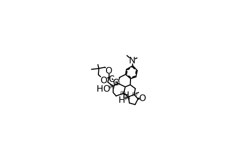 CN(C)c1ccc2c(c1)C[C@]13CCC4(C[C@]1(O)CC[C@@H]1C3C2C[C@]2(C)C(=O)CC[C@H]12)OCC(C)(C)CO4